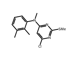 CSc1nc(Cl)cc(N(C)c2cccc(C)c2C)n1